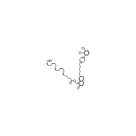 CCC/C=C\C/C=C\C/C=C\C/C=C\C/C=C\CCCC(=O)OCn1c(=O)ccc2ccc(CCCCCN3CCN(c4cccc(Cl)c4Cl)CC3)cc21